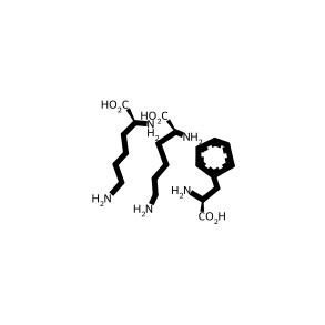 NCCCC[C@H](N)C(=O)O.NCCCC[C@H](N)C(=O)O.N[C@@H](Cc1ccccc1)C(=O)O